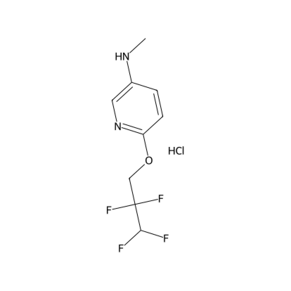 CNc1ccc(OCC(F)(F)C(F)F)nc1.Cl